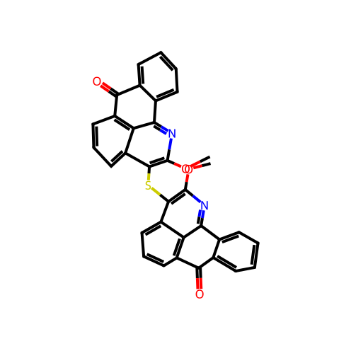 COc1nc2c3c(cccc3c1Sc1c(OC)nc3c4c(cccc14)C(=O)c1ccccc1-3)C(=O)c1ccccc1-2